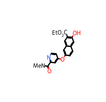 CCOC(=O)c1cc2cc(Oc3ccnc(C(=O)NC)c3)ccc2cc1O